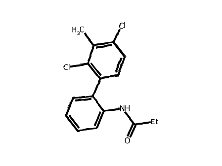 CCC(=O)Nc1ccccc1-c1ccc(Cl)c(C)c1Cl